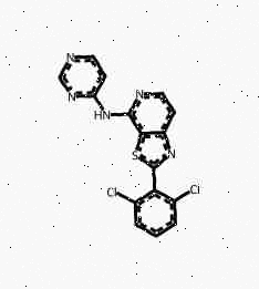 Clc1cccc(Cl)c1-c1nc2ccnc(Nc3ccncn3)c2s1